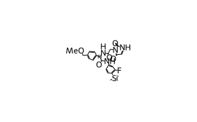 COCc1ccc([C@@H](NC(=O)Cn2c(=O)cc[nH]c2=O)C(=O)Nc2ccc([Si](C)(C)C)c(F)c2)cc1